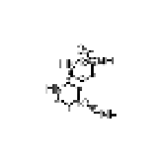 C1CCNCC1.C1CCNCC1.N=C=O.N=C=O